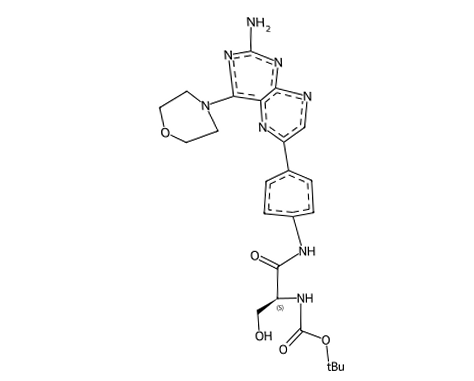 CC(C)(C)OC(=O)N[C@@H](CO)C(=O)Nc1ccc(-c2cnc3nc(N)nc(N4CCOCC4)c3n2)cc1